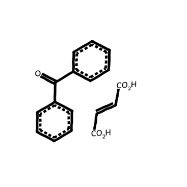 O=C(O)/C=C/C(=O)O.O=C(c1ccccc1)c1ccccc1